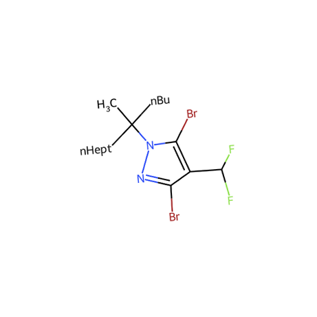 CCCCCCCC(C)(CCCC)n1nc(Br)c(C(F)F)c1Br